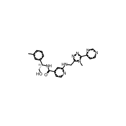 Cc1cccc([C@@H](CO)NC(=O)c2ccnc(NCc3nnc(-c4ccncn4)n3C)c2)c1